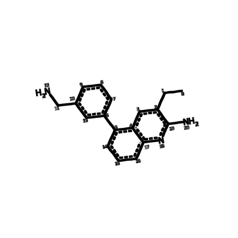 CCc1cc2c(-c3cccc(CN)c3)cccc2nc1N